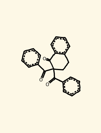 O=C(c1ccccc1)C1(C(=O)c2ccccc2)CCc2ccccc2C1=O